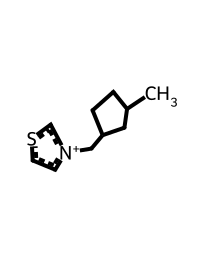 CC1CCC(C[n+]2ccsc2)C1